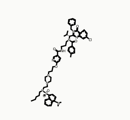 CCCCCN(CCN1CCN(CCCOc2ccc(C(=O)NCCCN(C(=O)c3ccc(C)cc3)[C@@H](c3nc4cc(Cl)ccc4c(=O)n3Cc3ccccc3)C(C)C)cn2)CC1)S(=O)(=O)c1ccc(N(C)C)c2ccccc12